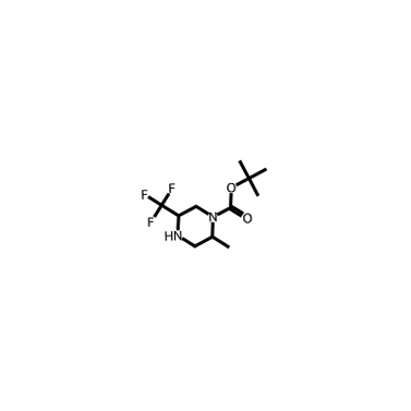 CC1CNC(C(F)(F)F)CN1C(=O)OC(C)(C)C